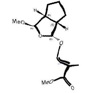 COC(=O)/C(C)=C/O[C@@H]1O[C@@H](OC)[C@@H]2CCC[C@H]12